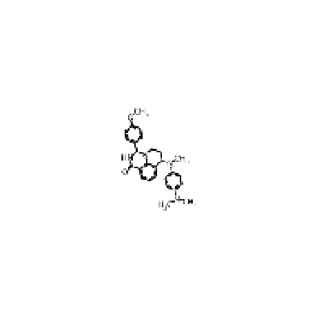 COc1ccc(C2NC(=O)c3cccc4c3N2CCC4N(C)c2ccc(N(C)C)cc2)cc1